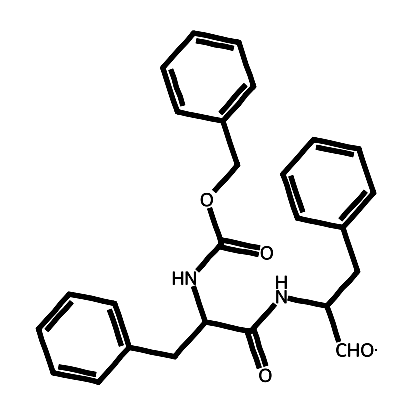 O=[C]C(Cc1ccccc1)NC(=O)C(Cc1ccccc1)NC(=O)OCc1ccccc1